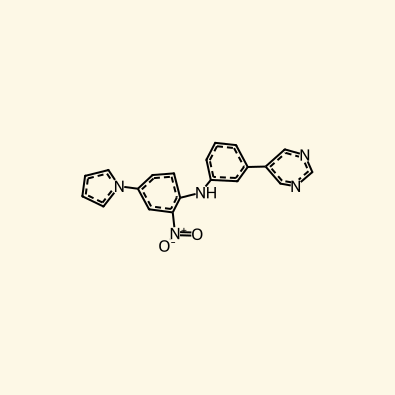 O=[N+]([O-])c1cc(-n2cccc2)ccc1Nc1cccc(-c2cncnc2)c1